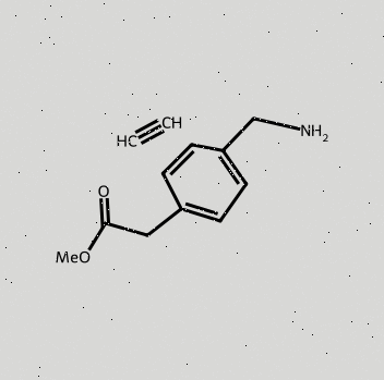 C#C.COC(=O)Cc1ccc(CN)cc1